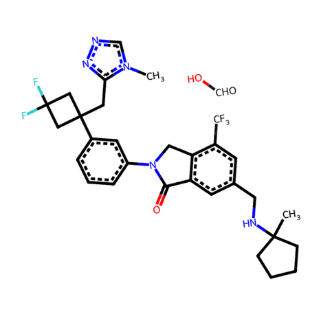 Cn1cnnc1CC1(c2cccc(N3Cc4c(cc(CNC5(C)CCCC5)cc4C(F)(F)F)C3=O)c2)CC(F)(F)C1.O=CO